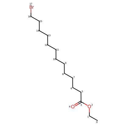 CCOC(=O)CCCCCCCCCCCCBr